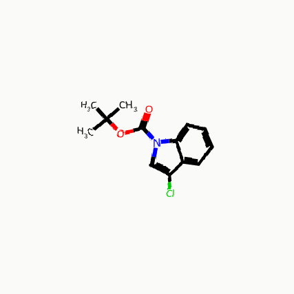 CC(C)(C)OC(=O)n1cc(Cl)c2ccccc21